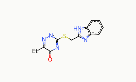 CCC1=N[N]C(SCc2nc3ccccc3[nH]2)=NC1=O